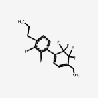 CCCc1ccc(C2=CC=C(CC)C(F)(F)C2(F)F)c(F)c1F